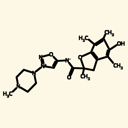 Cc1c(C)c2c(c(C)c1O)CC(C)(C(=O)[N-]c1c[n+](N3CCN(C)CC3)no1)O2